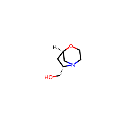 OC[C@@H]1C[C@@H]2CN1CCO2